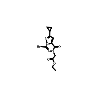 CCOC(=O)Cn1nc(Br)n2nc(C3CC3)cc2c1=O